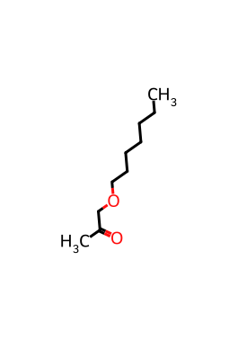 CCCCCCCOCC(C)=O